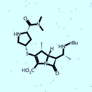 CCCCN[C@H](C)[C@H]1C(=O)N2C(C(=O)O)=C(S[C@@H]3CN[C@H](C(=O)N(C)C)C3)[C@H](C)[C@H]12